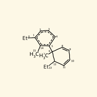 CCc1cccc(C2(C)C=CC=CC2CC)c1C